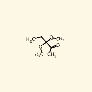 CCC(OC)(OC)C(C)=O